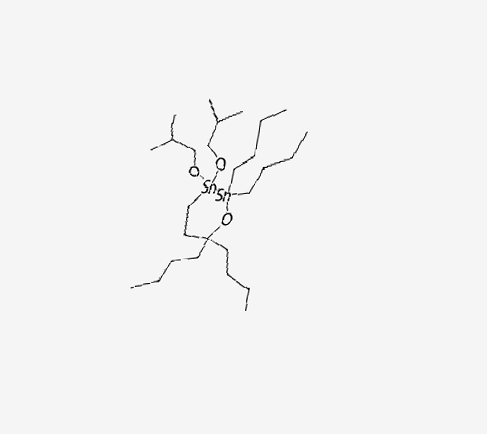 CCCCC1(CCCC)C[CH2][Sn]([O]CC(C)C)([O]CC(C)C)[Sn]([CH2]CCC)([CH2]CCC)[O]1